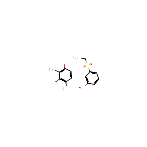 CC(C)c1c(O)ccc(C=O)c1C(C)C.N#CCS(=O)(=O)c1cccc(OC(F)(F)F)c1